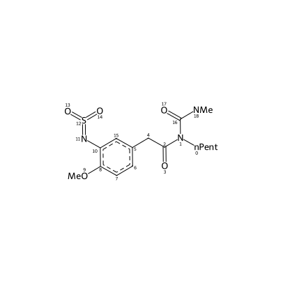 CCCCCN(C(=O)Cc1ccc(OC)c(N=S(=O)=O)c1)C(=O)NC